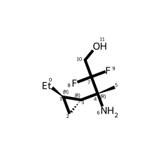 CC[C@@H]1C[C@H]1[C@@](C)(N)C(F)(F)CO